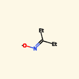 CCC(CC)=N[O]